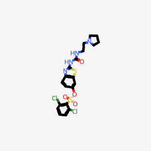 O=C(NCCN1CCCC1)Nc1nc2ccc(OS(=O)(=O)c3c(Cl)cccc3Cl)cc2s1